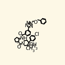 CC1(C)CN(C(=O)[C@H]2CCC[C@H]2NC(=O)c2cccc(-c3nnn(COCc4ccccc4)n3)c2)CCC1(O)c1ccc(Cl)cc1